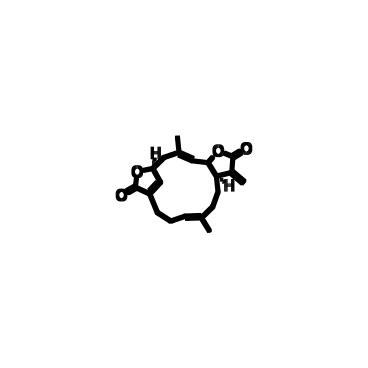 C=C1C(=O)OC2/C=C(\C)C[C@H]3C=C(CC/C=C(\C)CC[C@H]12)C(=O)O3